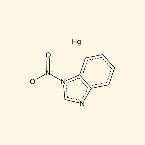 O=[N+]([O-])n1cnc2ccccc21.[Hg]